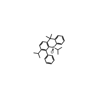 CC(C)c1ccc2c(c1-c1ccccc1)P(=O)(C(C)C)c1ccccc1C2(C)C